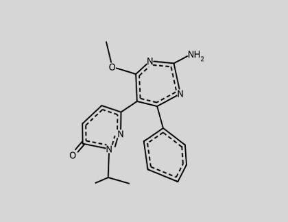 COc1nc(N)nc(-c2ccccc2)c1-c1ccc(=O)n(C(C)C)n1